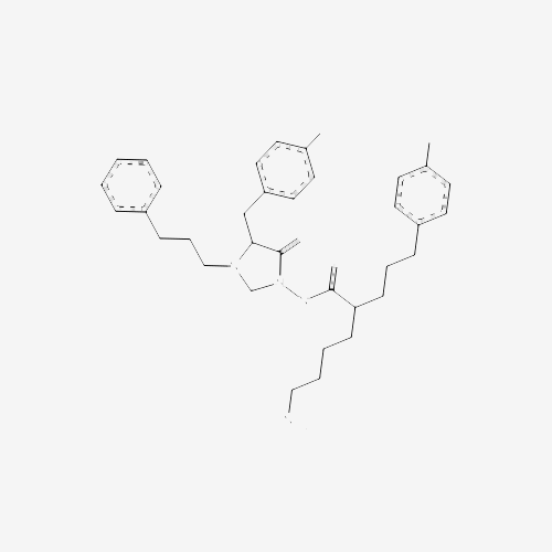 NCCCCC(CCCc1ccc(F)cc1)C(=O)NN1CN(CCCc2ccccc2)C(Cc2ccc(O)cc2)C1=O